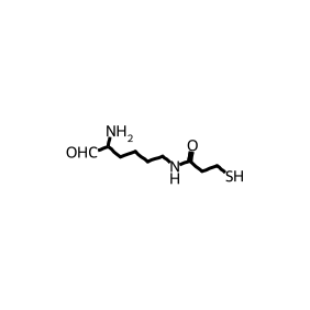 NC(C=O)CCCCNC(=O)CCS